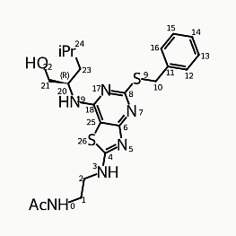 CC(=O)NCCNc1nc2nc(SCc3ccccc3)nc(N[C@@H](CO)CC(C)C)c2s1